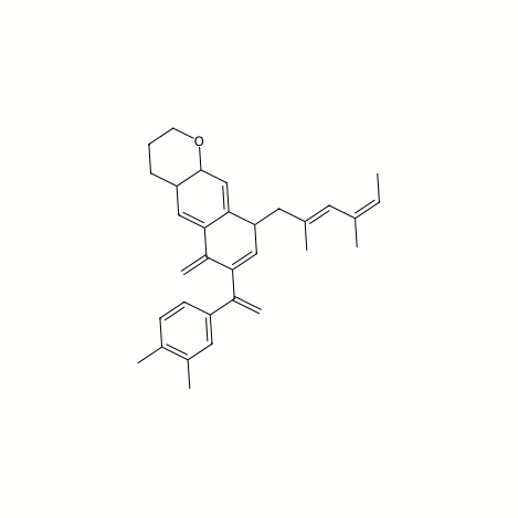 C=C1C(C(=C)c2ccc(C)c(C)c2)=CC(C/C(C)=C/C(C)=C\C)C2=CC3OCCCC3C=C12